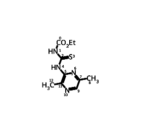 CCOC(=O)NC(=S)Nc1nc(C)cnc1C